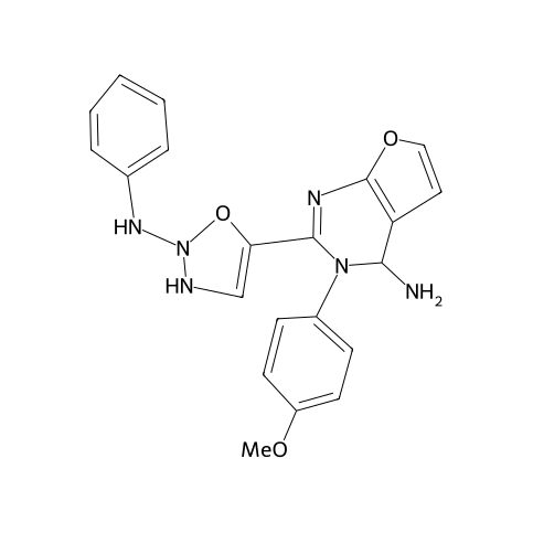 COc1ccc(N2C(C3=CNN(Nc4ccccc4)O3)=Nc3occc3C2N)cc1